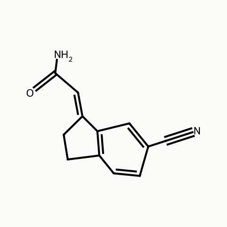 N#Cc1ccc2c(c1)C(=CC(N)=O)CC2